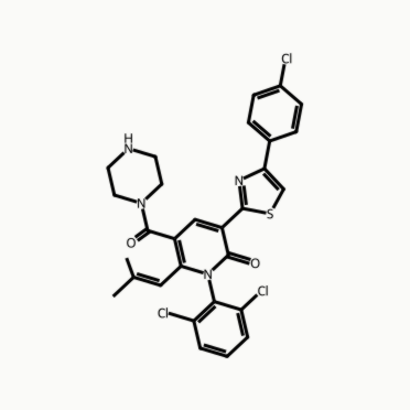 CC(C)=Cc1c(C(=O)N2CCNCC2)cc(-c2nc(-c3ccc(Cl)cc3)cs2)c(=O)n1-c1c(Cl)cccc1Cl